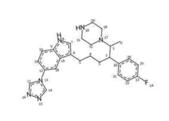 CC(C(CCCc1c[nH]c2ccc(-n3cnnc3)cc12)c1ccc(F)cc1)N1CCNCC1